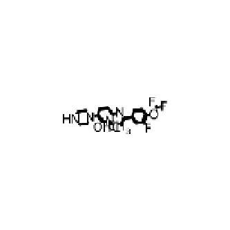 Cn1cc(N2CCNCC2)cc/c1=N/C(=C\C=O)c1ccc(OC(F)F)c(F)c1